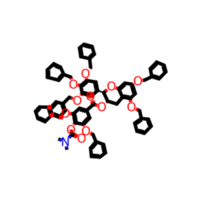 CN(C)C(=O)Oc1c(OCc2ccccc2)cc(C(=O)O[C@@H]2Cc3c(OCc4ccccc4)cc(OCc4ccccc4)cc3O[C@@H]2c2cc(OCc3ccccc3)c(OCc3ccccc3)c(OCc3ccccc3)c2)cc1OCc1ccccc1